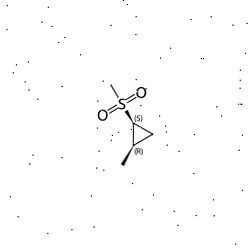 C[C@@H]1C[C@@H]1S(C)(=O)=O